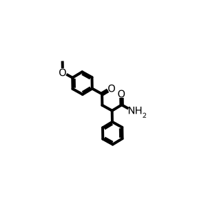 COc1ccc(C(=O)CC(C(N)=O)c2ccccc2)cc1